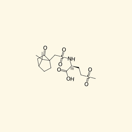 CC1(C)C2CCC1(CS(=O)(=O)N[C@@H](CCS(C)(=O)=O)C(=O)O)C(=O)C2